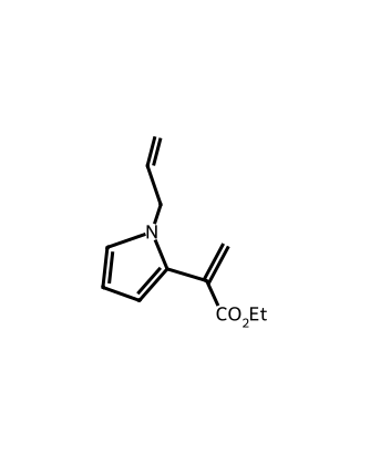 C=CCn1cccc1C(=C)C(=O)OCC